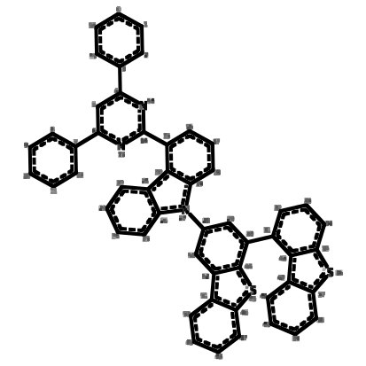 c1ccc(-c2cc(-c3ccccc3)nc(-c3cccc4c3c3ccccc3n4-c3cc(-c4cccc5sc6ccccc6c45)c4sc5ccccc5c4c3)n2)cc1